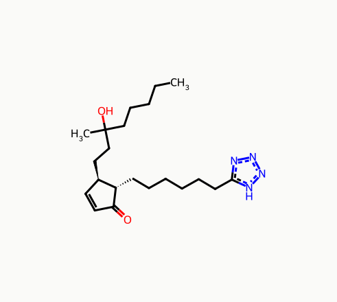 CCCCCC(C)(O)CC[C@@H]1C=CC(=O)[C@H]1CCCCCCc1nnn[nH]1